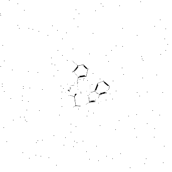 CC(Sc1nc2ncccc2[nH]1)c1nnn(-c2cccc(Cl)c2)n1